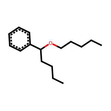 CCCCCOC(CCCC)c1ccccc1